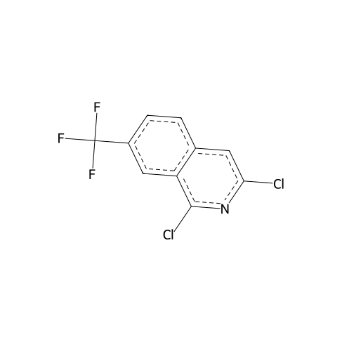 FC(F)(F)c1ccc2cc(Cl)nc(Cl)c2c1